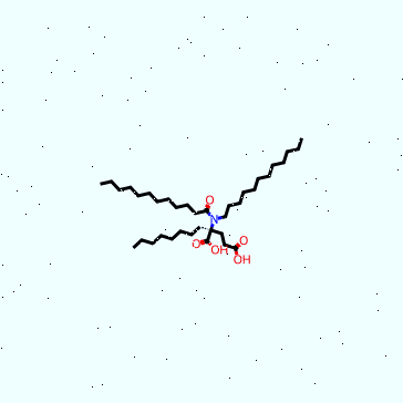 CCCCCCCCCCCCN(C(=O)CCCCCCCCCCC)[C@@](CCCCCCCC)(CCC(=O)O)C(=O)O